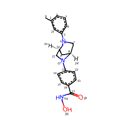 Cc1cccc(N2C[C@@H]3C[C@H]2CN3c2ccc(C(=O)NO)cc2)c1